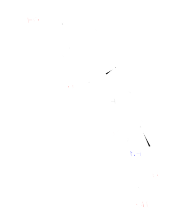 CC1(C)C2CC[C@]3(C)C(C(=O)C=C4[C@@H]5C[C@@](C)(C(=O)Nc6ccccc6C(=O)O)CC[C@]5(C)CC[C@]43C)[C@@]2(C)CC[C@@H]1O